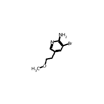 COCCc1cnc(N)c(Br)c1